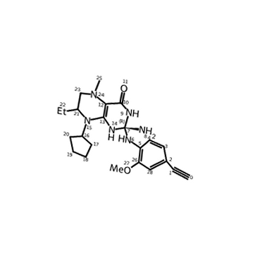 C#Cc1ccc(N[C@@]2(N)NC(=O)C3=C(N2)N(C2CCCC2)C(CC)CN3C)c(OC)c1